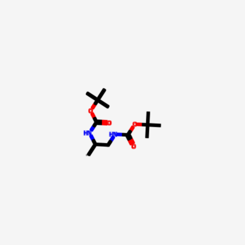 [CH2]C(CNC(=O)OC(C)(C)C)NC(=O)OC(C)(C)C